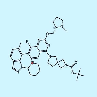 Cc1ccc2cnn(C3CCCCO3)c2c1-c1c(Cl)cc2c(N3CCC4(CN(C(=O)OC(C)(C)C)C4)C3)nc(OC[C@@H]3CCCN3C)nc2c1F